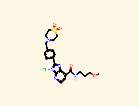 COCCCNC(=O)c1ccnc2[nH]c(-c3ccc(CN4CCS(=O)(=O)CC4)cc3)nc12.Cl